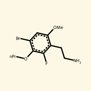 CCCOc1c(Br)cc(OC)c(CCN)c1F